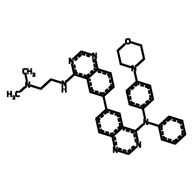 CN(C)CCNc1ncnc2ccc(-c3ccc4ncnc(N(c5ccccc5)c5ccc(N6CCOCC6)cc5)c4c3)cc12